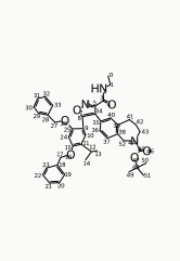 CCNC(=O)c1noc(-c2cc(C(C)C)c(OCc3ccccc3)cc2OCc2ccccc2)c1-c1ccc2c(c1)CCCN(C(=O)OC(C)(C)C)C2